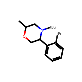 CC1CN(C(C)(C)C)C(c2ccccc2C(C)C)CO1